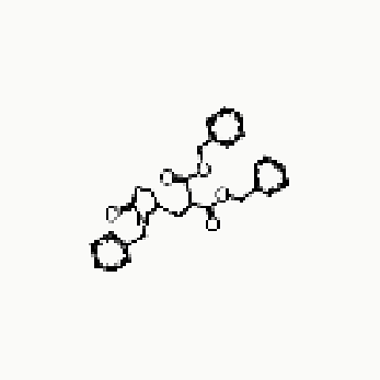 O=C(OCc1ccccc1)C(C[C@@H]1CCC(=O)N1Cc1ccccc1)C(=O)OCc1ccccc1